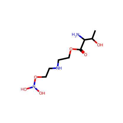 CC(O)C(N)C(=O)OCCNCCON(O)O